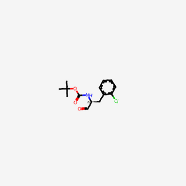 CC(C)(C)OC(=O)N[C@H](C=O)Cc1ccccc1Cl